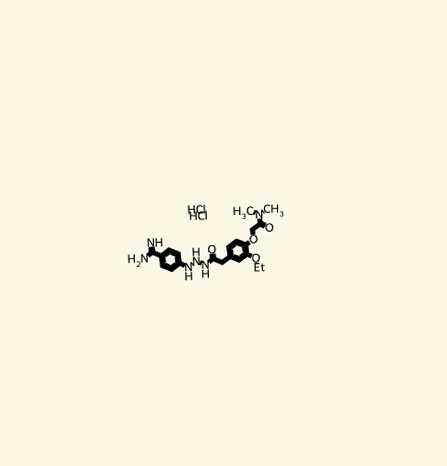 CCOc1cc(CC(=O)NNNc2ccc(C(=N)N)cc2)ccc1OCC(=O)N(C)C.Cl.Cl